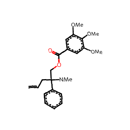 C=CCC(COC(=O)c1cc(OC)c(OC)c(OC)c1)(NC)c1ccccc1